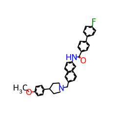 COc1ccc(C2CCN(Cc3ccc4cc(NC(=O)c5ccc(-c6ccc(F)cc6)cc5)ccc4c3)CC2)cc1